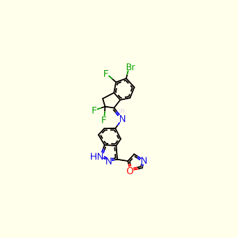 Fc1c(Br)ccc2c1CC(F)(F)/C2=N\c1ccc2[nH]nc(-c3cnco3)c2c1